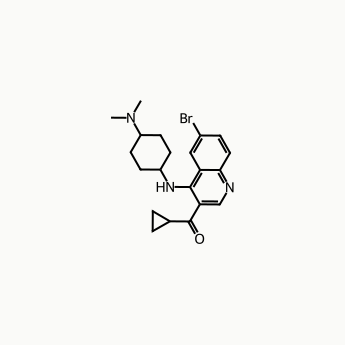 CN(C)C1CCC(Nc2c(C(=O)C3CC3)cnc3ccc(Br)cc23)CC1